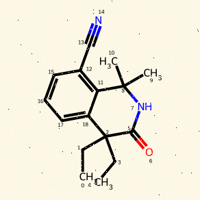 CCC1(CC)C(=O)NC(C)(C)c2c(C#N)cccc21